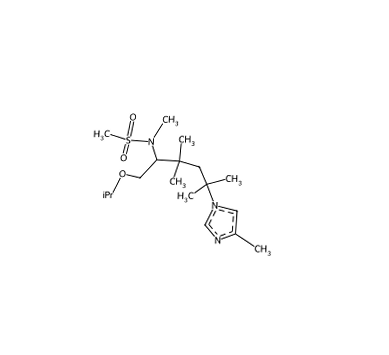 Cc1cn(C(C)(C)CC(C)(C)C(COC(C)C)N(C)S(C)(=O)=O)cn1